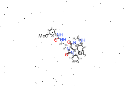 COc1cccc(NC(=O)NCCCn2c(C(=O)N3CCNCC3)c(C3C=CC=CC3)n(-c3ccccc3C)c2=O)c1